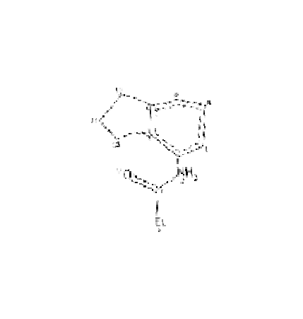 CCC(N)=O.c1ccc2c(c1)CCC2